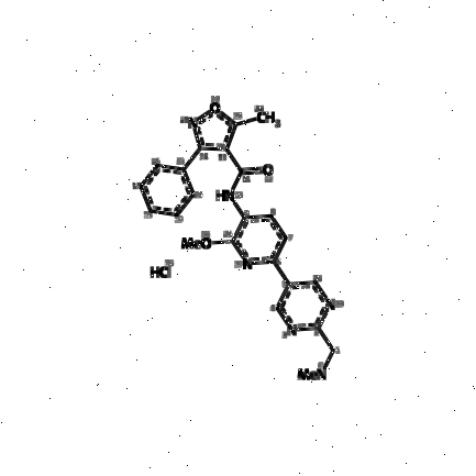 CNCc1ncc(-c2ccc(NC(=O)c3c(-c4ccccc4)noc3C)c(OC)n2)cn1.Cl